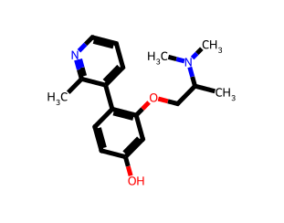 Cc1ncccc1-c1ccc(O)cc1OCC(C)N(C)C